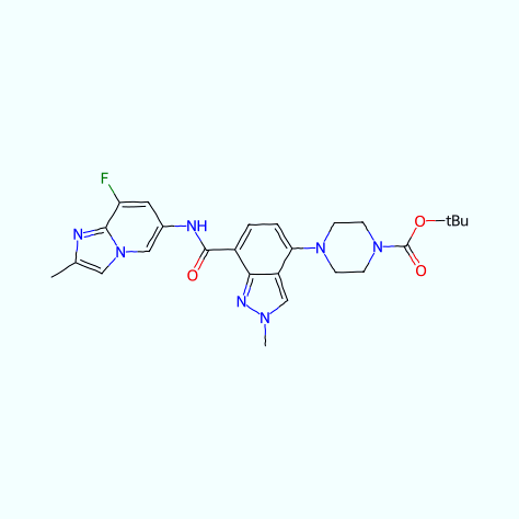 Cc1cn2cc(NC(=O)c3ccc(N4CCN(C(=O)OC(C)(C)C)CC4)c4cn(C)nc34)cc(F)c2n1